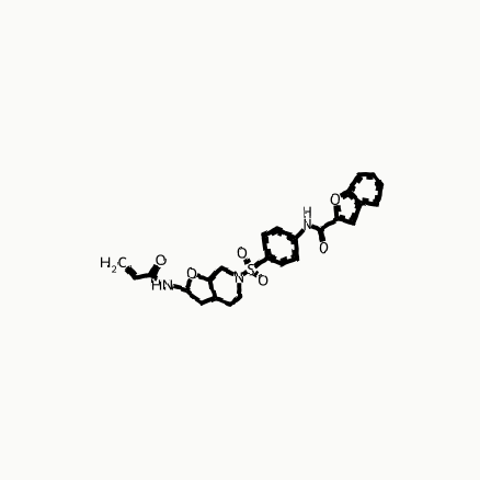 C=CC(=O)NC1CC2CCN(S(=O)(=O)c3ccc(NC(=O)c4cc5ccccc5o4)cc3)CC2O1